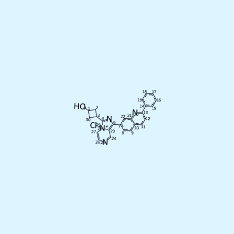 OC1CC(C2=NC(c3ccc4ccc(-c5ccccc5)nc4c3)=C3C=NC=C[N+]23Cl)C1